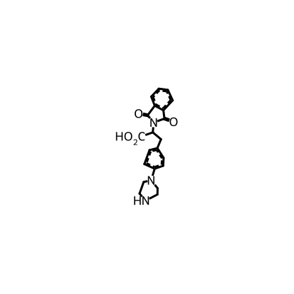 O=C(O)C(Cc1ccc(N2CCNCC2)cc1)N1C(=O)c2ccccc2C1=O